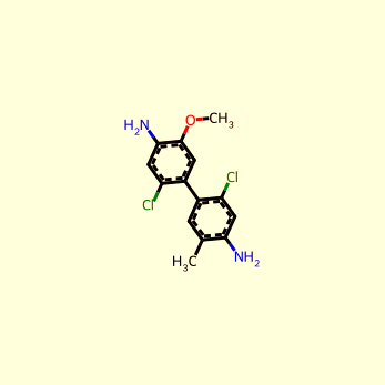 COc1cc(-c2cc(C)c(N)cc2Cl)c(Cl)cc1N